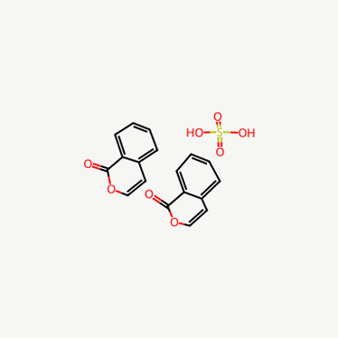 O=S(=O)(O)O.O=c1occc2ccccc12.O=c1occc2ccccc12